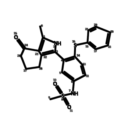 Cc1[nH]c(-c2cc(NS(C)(=O)=O)ccc2Sc2ccccc2)c2c1C(=O)CCC2